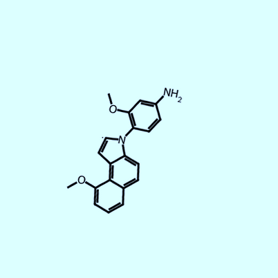 COc1cc(N)ccc1-n1[c]cc2c3c(OC)cccc3ccc21